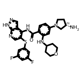 N[C@H]1CCN(c2ccc(C(=O)Nc3c(Sc4cc(F)cc(F)c4)cnc4[nH]ncc34)c(NC3CCOCC3)c2)C1